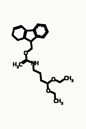 C=C(NCCCC(OCC)OCC)OCC1C2=C(C=CCC2)c2ccccc21